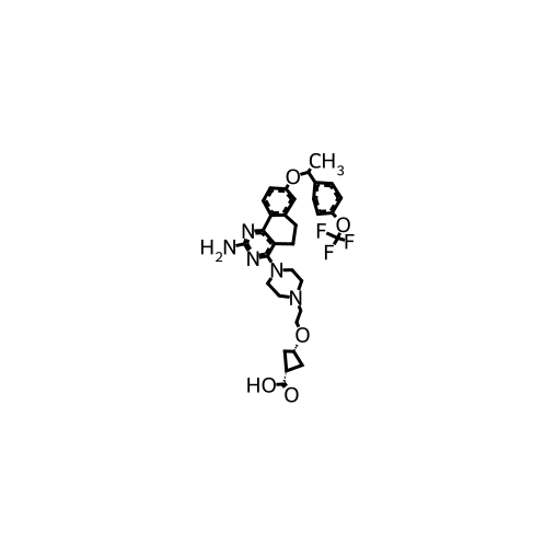 CC(Oc1ccc2c(c1)CCc1c-2nc(N)nc1N1CCN(CCO[C@H]2C[C@@H](C(=O)O)C2)CC1)c1ccc(OC(F)(F)F)cc1